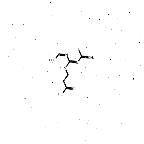 C=C(I)/N=C(\N=C/C)SCCC(=O)O